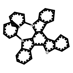 c1ccc(-n2c3ccccc3c3c4oc5ccccc5c4c4c5ccccc5n(-c5ccccn5)c4c32)cc1